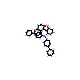 c1ccc(-c2ccc(N(c3ccc(-c4ccccc4)cc3)c3cccc4oc5ccc6ccccc6c5c34)cc2)cc1